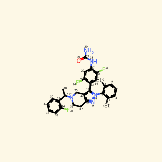 CCc1cccc(CC)c1-n1nc2c(c1-c1cc(F)c(NC(N)=O)cc1F)CN(C(C)c1ccccc1F)CC2